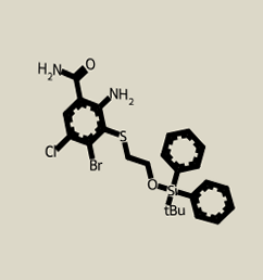 CC(C)(C)[Si](OCCSc1c(N)c(C(N)=O)cc(Cl)c1Br)(c1ccccc1)c1ccccc1